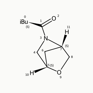 CC[C@H](C)C(=O)N1C[C@@H]2C[C@H]1CO2